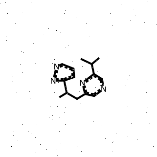 CC(C)c1cncc(CC(C)c2cccnn2)n1